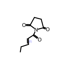 CC/C=C/C(=O)N1C(=O)CCC1=O